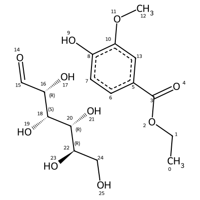 CCOC(=O)c1ccc(O)c(OC)c1.O=C[C@H](O)[C@@H](O)[C@H](O)[C@H](O)CO